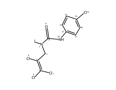 CN(CC(Cl)=C(Cl)Cl)C(=O)Nc1ccc(Cl)cc1